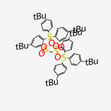 CC(C)(C)c1ccc(S(OS(=O)(=O)CS(=O)(=O)OS(c2ccc(C(C)(C)C)cc2)(c2ccc(C(C)(C)C)cc2)c2ccc(C(C)(C)C)cc2)(c2ccc(C(C)(C)C)cc2)c2ccc(C(C)(C)C)cc2)cc1